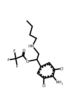 CCCCNCC(OC(=O)C(F)(F)F)c1cc(Cl)c(N)c(Cl)c1